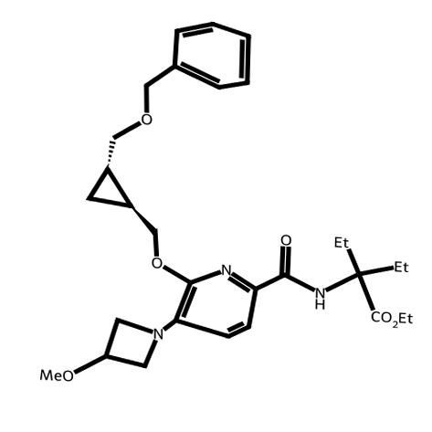 CCOC(=O)C(CC)(CC)NC(=O)c1ccc(N2CC(OC)C2)c(OC[C@H]2C[C@@H]2COCc2ccccc2)n1